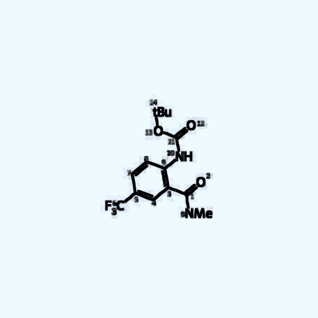 CNC(=O)c1cc(C(F)(F)F)ccc1NC(=O)OC(C)(C)C